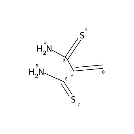 C=CC(N)=S.NC=S